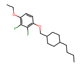 CCCCC1CCC(COc2ccc(OCC)c(F)c2F)CC1